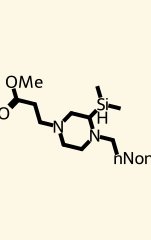 CCCCCCCCCCN1CCN(CCC(=O)OC)CC1[SiH](C)C